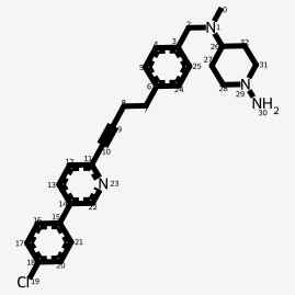 CN(Cc1ccc(CCC#Cc2ccc(-c3ccc(Cl)cc3)cn2)cc1)C1CCN(N)CC1